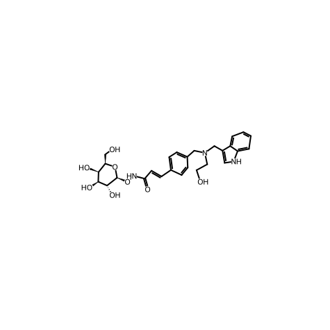 O=C(/C=C/c1ccc(CN(CCO)Cc2c[nH]c3ccccc23)cc1)NO[C@@H]1O[C@H](CO)[C@H](O)[C@H](O)[C@H]1O